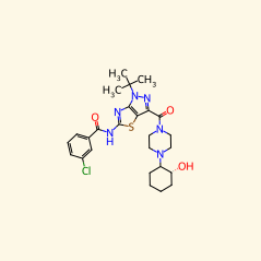 CC(C)(C)n1nc(C(=O)N2CCN(C3CCCC[C@H]3O)CC2)c2sc(NC(=O)c3cccc(Cl)c3)nc21